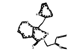 C=C/C(Cn1nc(-c2ccccn2)c2ncccc2c1=S)=N\C